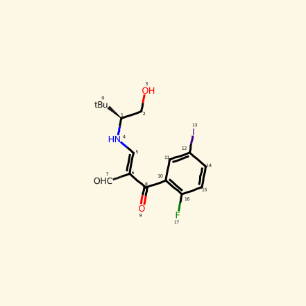 CC(C)(C)[C@@H](CO)NC=C(C=O)C(=O)c1cc(I)ccc1F